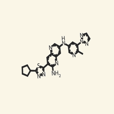 Cc1ncc(Nc2cnc3cc(-c4nnc(C5CCCC5)s4)c(N)nc3c2)cc1-n1nccn1